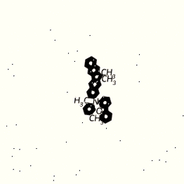 Cc1ccc(C)c(N(c2ccc3cc4c(cc3c2)C(C)(C)c2cc3ccccc3cc2-4)c2cccc3c2oc2ccccc23)c1